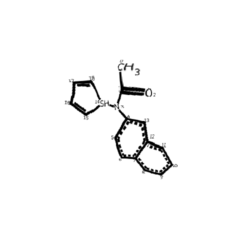 CC(=O)N(c1ccc2ccccc2c1)[SH]1C=CC=C1